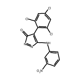 O=C1N=NC(Nc2cccc([N+](=O)[O-])c2)=C1c1c(Cl)cc(Cl)cc1Cl